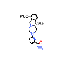 COc1cccc(OC)c1CN1CCCN(c2cc[c]c(C(N)=O)n2)CC1